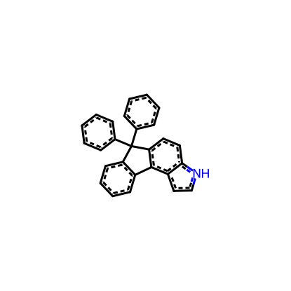 c1ccc(C2(c3ccccc3)c3ccccc3-c3c2ccc2[nH]ccc32)cc1